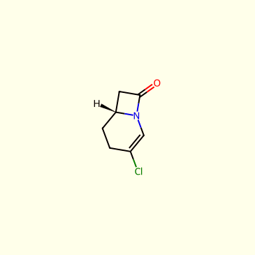 O=C1C[C@H]2CCC(Cl)=CN12